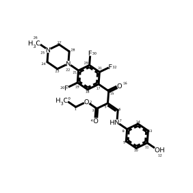 CCOC(=O)C(=CNc1ccc(O)cc1)C(=O)c1cc(F)c(N2CCN(C)CC2)c(F)c1F